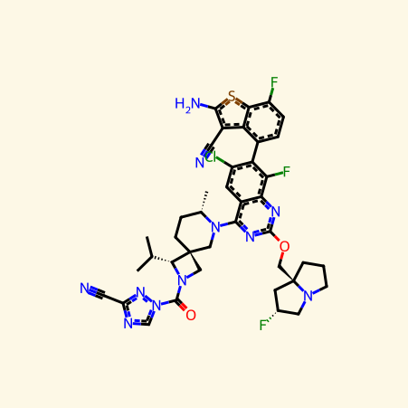 CC(C)[C@H]1N(C(=O)n2cnc(C#N)n2)C[C@]12CC[C@H](C)N(c1nc(OC[C@@]34CCCN3C[C@H](F)C4)nc3c(F)c(-c4ccc(F)c5sc(N)c(C#N)c45)c(Cl)cc13)C2